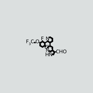 O=Cc1c[nH]c2ncc(-c3cccnc3-c3c(Cl)ccc(OCC(F)(F)F)c3F)cc12